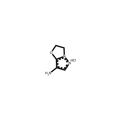 Cl.Nc1cnn2c1OCC2